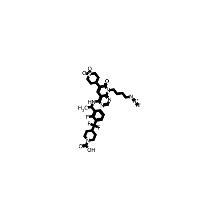 CC(Nc1ncnc2c1cc(C1CCS(=O)(=O)CC1)c(=O)n2CCCCN=[N+]=[N-])c1cccc(C(F)(F)C2CCN(C(=O)O)CC2)c1F